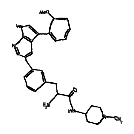 COc1ccccc1-c1c[nH]c2ncc(-c3cccc(CC(N)C(=O)NC4CCN(C)CC4)c3)cc12